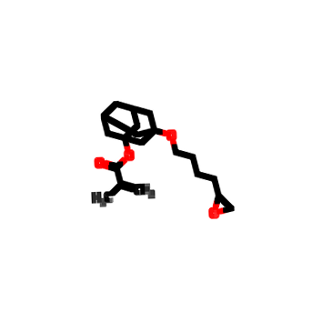 C=C(C)C(=O)OC12CC3CC(CC(OCCCCC4CO4)(C3)C1)C2